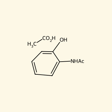 CC(=O)Nc1ccccc1O.CC(=O)O